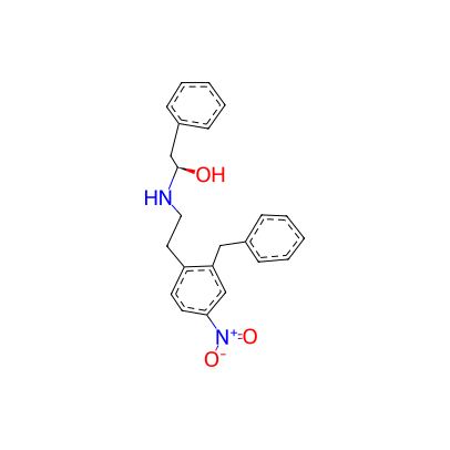 O=[N+]([O-])c1ccc(CCN[C@H](O)Cc2ccccc2)c(Cc2ccccc2)c1